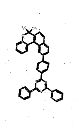 CC1(C)Oc2ccccc2-c2c1ccc1ccc(-c3ccc(-c4nc(-c5ccccc5)nc(-c5ccccc5)n4)cc3)cc21